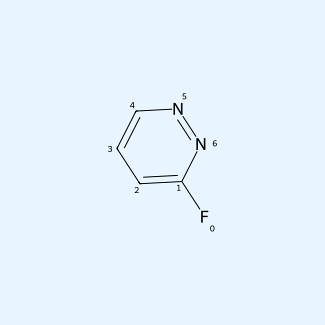 Fc1cccnn1